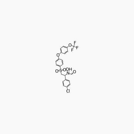 O=CN(O)C(CS(=O)(=O)c1ccc(Oc2ccc(OC(F)(F)F)cc2)cc1)c1ccc(Cl)cc1